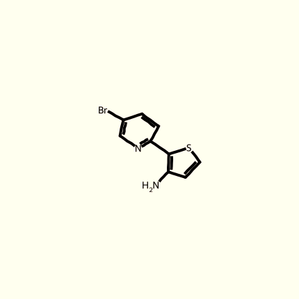 Nc1ccsc1-c1ccc(Br)cn1